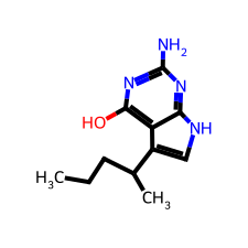 CCCC(C)c1c[nH]c2nc(N)nc(O)c12